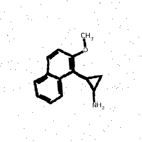 COc1ccc2ccccc2c1C1CC1N